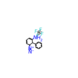 F[B-](F)(F)F.[N-]=[N+]=C1C=CC=C(N)C1c1ccccc1